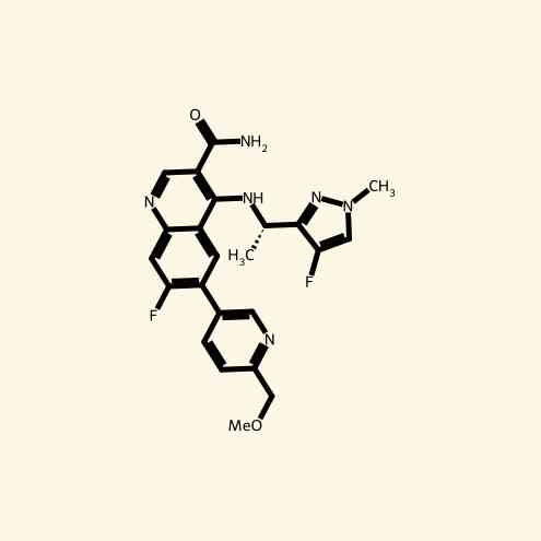 COCc1ccc(-c2cc3c(N[C@@H](C)c4nn(C)cc4F)c(C(N)=O)cnc3cc2F)cn1